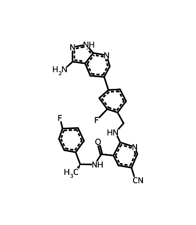 C[C@H](NC(=O)c1cc(C#N)cnc1NCc1ccc(-c2cnc3[nH]nc(N)c3c2)cc1F)c1ccc(F)cc1